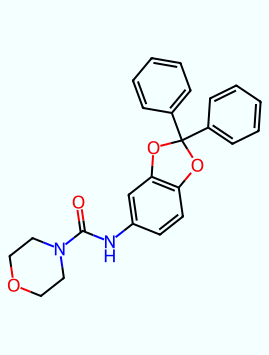 O=C(Nc1ccc2c(c1)OC(c1ccccc1)(c1ccccc1)O2)N1CCOCC1